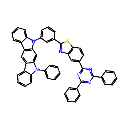 c1ccc(-c2nc(-c3ccccc3)nc(-c3ccc4sc(-c5cccc(-n6c7ccccc7c7cc8c9ccccc9n(-c9ccccc9)c8cc76)c5)nc4c3)n2)cc1